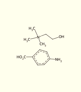 C[N+](C)(C)CCO.Nc1ccc(C(=O)O)cc1